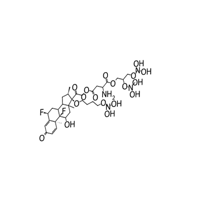 C[C@@H]1CC2C3C[C@H](F)C4=CC(=O)C=C[C@]4(C)[C@@]3(F)C(O)CC2(C)[C@@]1(OC(=O)CCCON(O)O)C(=O)COC(=O)CC(N)C(=O)OCC(CON(O)O)ON(O)O